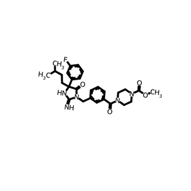 COC(=O)N1CCN(C(=O)c2cccc(CN3C(=N)NC(CCC(C)C)(c4cccc(F)c4)C3=O)c2)CC1